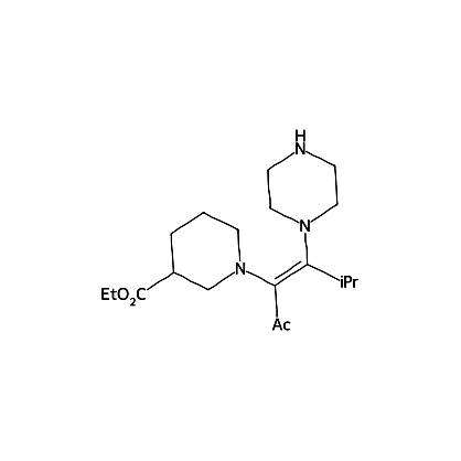 CCOC(=O)C1CCCN(/C(C(C)=O)=C(/C(C)C)N2CCNCC2)C1